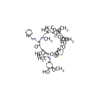 CO[C@H]1C[C@@H](O)C/C(C)=C/[C@@H](C/C=C/c2ccccn2)C(=O)C[C@H](O)[C@@H](C)[C@@H](/C(C)=C/[C@@H]2CC[C@@H](O)[C@H](OC)C2)OC(=O)[C@@H]2CCCCN2C(=O)C(=O)[C@]2(O)O[C@H]1[C@@H](OC)C[C@H]2C